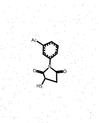 CC(=O)c1cccc(N2C(=O)CC(S)C2=O)c1